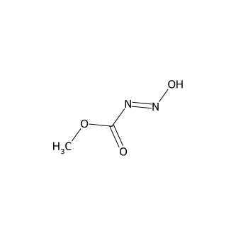 COC(=O)N=NO